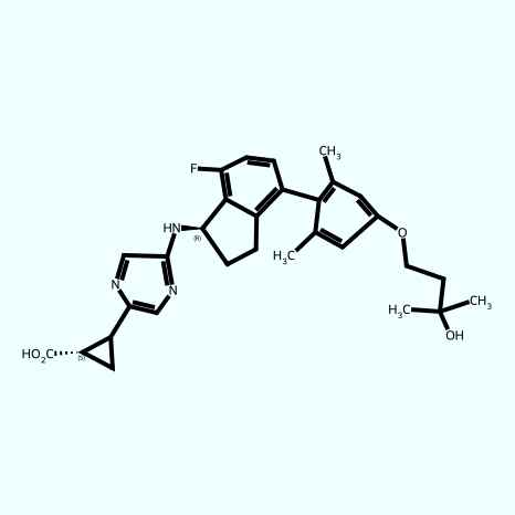 Cc1cc(OCCC(C)(C)O)cc(C)c1-c1ccc(F)c2c1CC[C@H]2Nc1cnc(C2C[C@@H]2C(=O)O)cn1